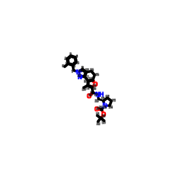 Cc1ccccc1Cn1cc2c(n1)-c1c(oc(C(=O)NC[C@H]3CCCN3C(=O)OC(C)(C)C)c1C)CC2